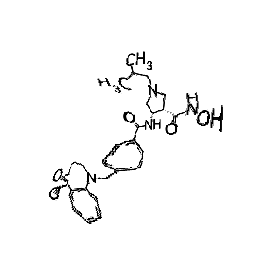 CC(C)CN1C[C@H](C(=O)NO)[C@H](NC(=O)c2ccc(CN3CCS(=O)(=O)c4ccccc43)cc2)C1